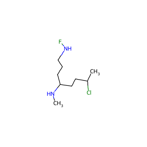 CNC(CCCNF)CCC(C)Cl